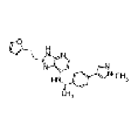 C[C@@H](Nc1ccnc2[nH]c(CCc3ccco3)nc12)c1ccc(-c2cnn(C)c2)cc1